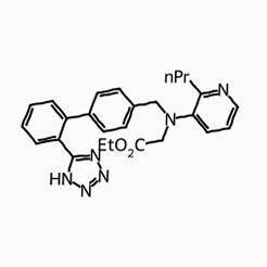 CCCc1ncccc1N(CC(=O)OCC)Cc1ccc(-c2ccccc2-c2nnn[nH]2)cc1